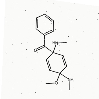 CNC1(OC)C=CC(NC)(C(=O)c2ccccc2)C=C1